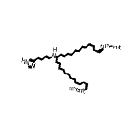 CCCCC/C=C\C/C=C\C=C\CCCCCCC(CCCCCCCC/C=C\C/C=C\CCCCC)NCCCCc1c[nH]cn1